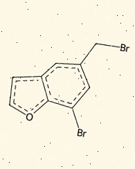 BrCc1cc(Br)c2occc2c1